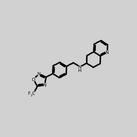 FC(F)(F)c1nc(-c2ccc(CNC3CCc4ncccc4C3)cc2)no1